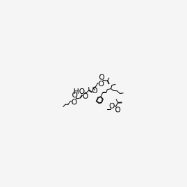 C=C(C)C(=O)O.C=C(C)C(=O)OCC.C=C(C)C(=O)OCC1CO1.C=CC(=O)OCCCC.CCCCC(CC)CC=Cc1ccccc1